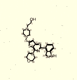 OCCN1CCN(Sc2cc3nc(-c4cccc5[nH]ncc45)nc(N4CCOCC4)c3s2)CC1